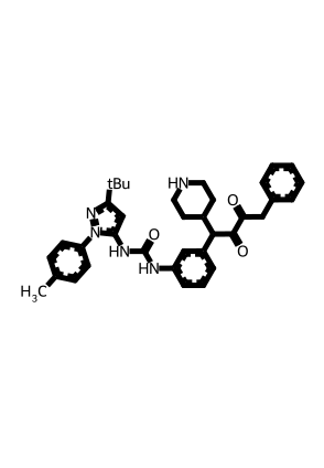 Cc1ccc(-n2nc(C(C)(C)C)cc2NC(=O)Nc2cccc(C(C(=O)C(=O)Cc3ccccc3)C3CCNCC3)c2)cc1